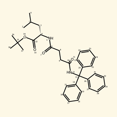 CC(C)C[C@H](NC(=O)CCC(=O)NC(c1ccccc1)(c1ccccc1)c1ccccc1)C(=O)OC(C)(C)C